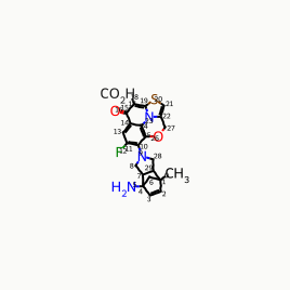 CC12C=CC(N)(C1)C1CN(c3c(F)cc4c(=O)c(C(=O)O)c5scc6n5c4c3OC6)CC12